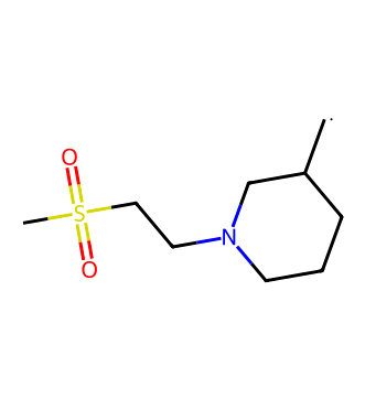 [CH2]C1CCCN(CCS(C)(=O)=O)C1